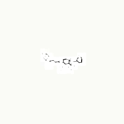 CNc1nc(-c2cccnc2)nc2ccc(OCCCC(=O)N3CCN(C)CC3)cc12